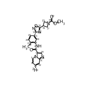 [2H]c1ccn2c(C(=O)Nc3cc(-c4noc(C5CN(C(=O)OC)C5)n4)ccc3C)cnc2c1